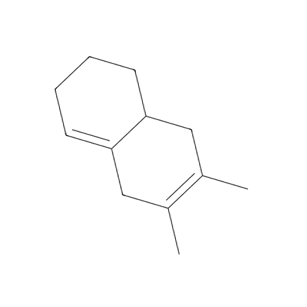 CC1=C(C)CC2CCCC=C2C1